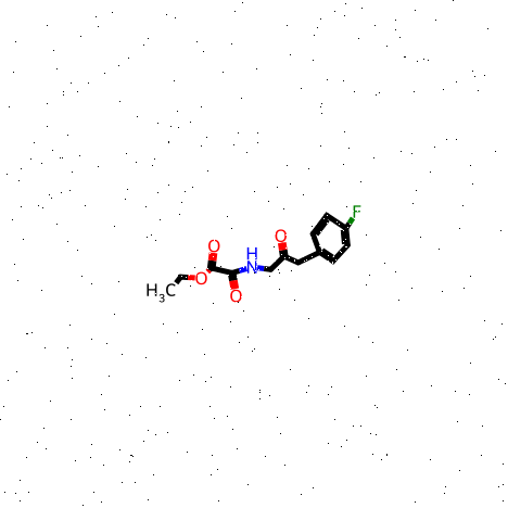 CCOC(=O)C(=O)NCC(=O)Cc1ccc(F)cc1